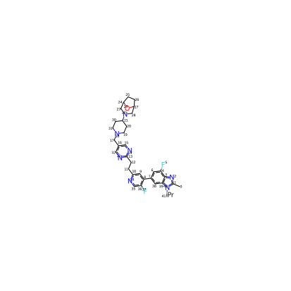 Cc1nc2c(F)cc(-c3cc(CCc4ncc(CN5CCC(N6CC7CCC(C6)O7)CC5)cn4)ncc3F)cc2n1C(C)C